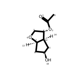 CC(=O)O[C@H]1CO[C@@H]2C[C@H](O)C[C@H]12